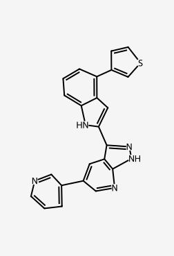 c1cncc(-c2cnc3[nH]nc(-c4cc5c(-c6ccsc6)cccc5[nH]4)c3c2)c1